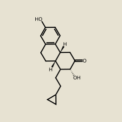 O=C1C[C@H]2c3ccc(O)cc3CC[C@H]2C(CCC2CC2)[C@H]1O